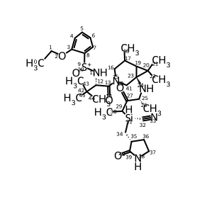 CCOc1ccccc1[S+]([O-])N[C@H](C(=O)N1CC(C)C2C(C)(C)[C@]2(N[C@H](C)C(=O)C(C)[Si@H](C#N)C[C@@H]2CCNC2=O)C1)C(C)(C)C